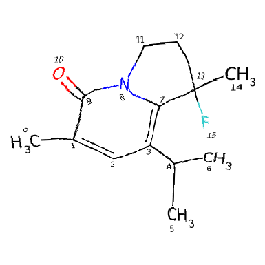 Cc1cc(C(C)C)c2n(c1=O)CCC2(C)F